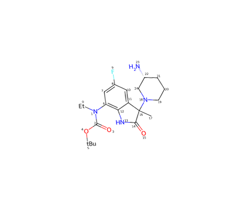 CCN(C(=O)OC(C)(C)C)c1cc(F)cc2c1NC(=O)C2(C)N1CCC[C@@H](N)C1